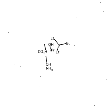 CC(=O)O.CC(C)O.CCN(CC)CC.CO.N